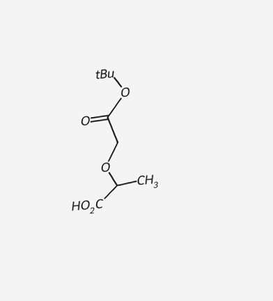 CC(OCC(=O)OC(C)(C)C)C(=O)O